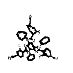 N#Cc1ccc(-c2nc3c(c4nc(-c5ccc(C#N)cc5F)n(-c5ccccc5)c4c4nc(-c5ccc(C#N)cc5F)n(-c5ccccc5)c34)n2-c2ccccc2)c(F)c1